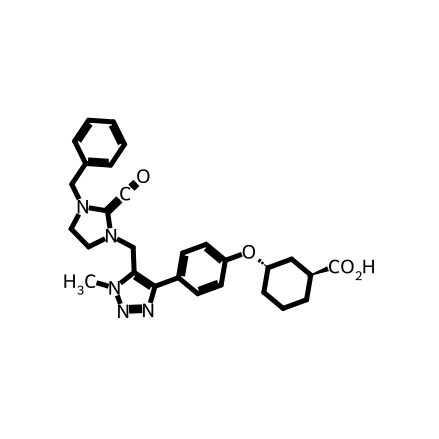 Cn1nnc(-c2ccc(O[C@H]3CCC[C@H](C(=O)O)C3)cc2)c1CN1CCN(Cc2ccccc2)C1=C=O